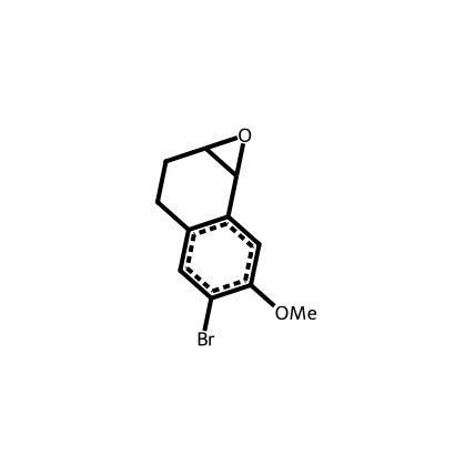 COc1cc2c(cc1Br)CCC1OC21